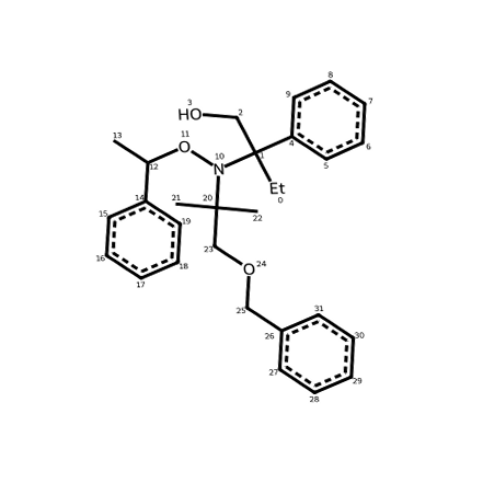 CCC(CO)(c1ccccc1)N(OC(C)c1ccccc1)C(C)(C)COCc1ccccc1